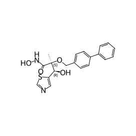 C[C@@](OCc1ccc(-c2ccccc2)cc1)(C(=O)NO)[C@@H](O)c1cncs1